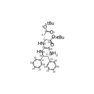 CC(C)(C)OC(=O)C[C@@H](NC(=S)N[C@H](c1ccccc1)[C@H](N)c1ccccc1)C(=O)OC(C)(C)C